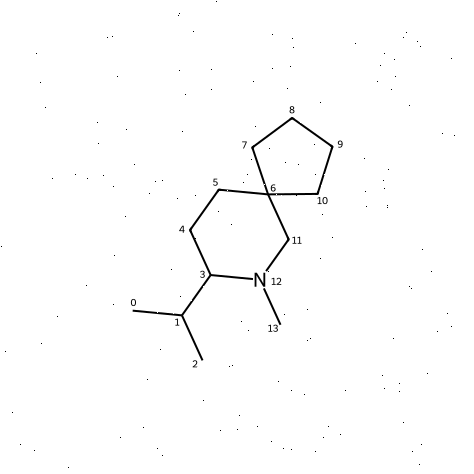 CC(C)C1CCC2(CCCC2)CN1C